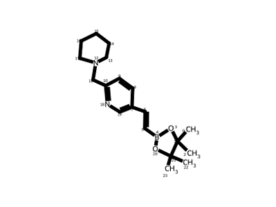 CC1(C)OB(C=Cc2ccc(CN3CCCCC3)nc2)OC1(C)C